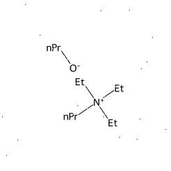 CCC[N+](CC)(CC)CC.CCC[O-]